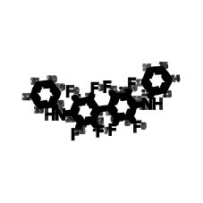 Fc1c(F)c(-c2c(F)c(F)c(Nc3ccccc3)c(F)c2F)c(F)c(F)c1Nc1ccccc1